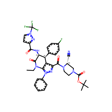 CCN1C(=O)[C@@H](NC(=O)c2ccn(C(F)(F)F)n2)[C@@H](c2ccc(F)cc2)c2c(C(=O)N3CCN(C(=O)OC(C)(C)C)C[C@H]3C#N)nn(-c3ccccc3)c21